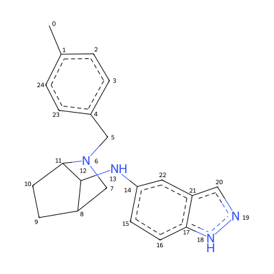 Cc1ccc(CN2CC3CCC2C3Nc2ccc3[nH]ncc3c2)cc1